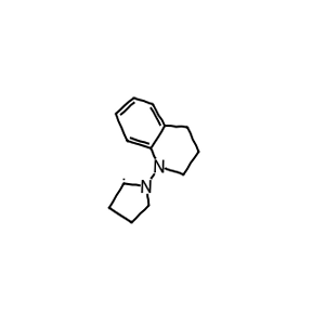 [CH]1CCCN1N1CCCc2ccccc21